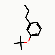 CCCc1cccc(OC(C)(C)C)c1